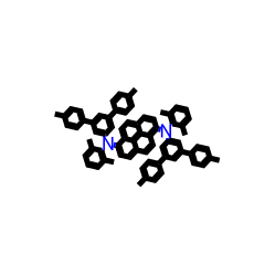 Cc1ccc(-c2cc(-c3ccc(C)cc3)cc(N(c3c(C)cccc3C)c3ccc4ccc5c(N(c6cc(-c7ccc(C)cc7)cc(-c7ccc(C)cc7)c6)c6c(C)cccc6C)ccc6ccc3c4c65)c2)cc1